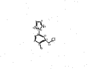 Cc1ccc(-n2nccn2)cc1CCl